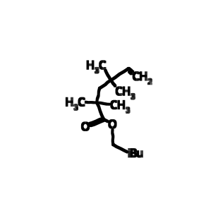 C=CC(C)(C)CC(C)(C)C(=O)OCC(C)CC